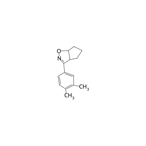 Cc1ccc(C2=NOC3CCCC23)cc1C